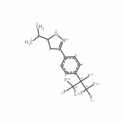 CC(C)C1CC(c2ccc(C(F)(C(F)(F)F)C(F)(F)F)cc2)=NO1